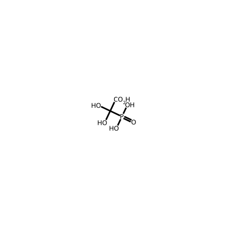 O=C(O)C(O)(O)P(=O)(O)O